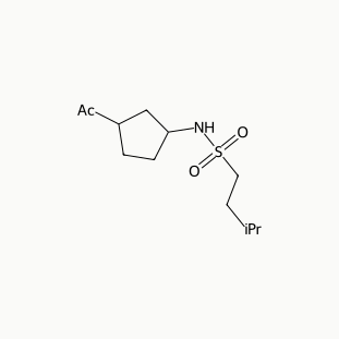 CC(=O)C1CCC(NS(=O)(=O)CCC(C)C)C1